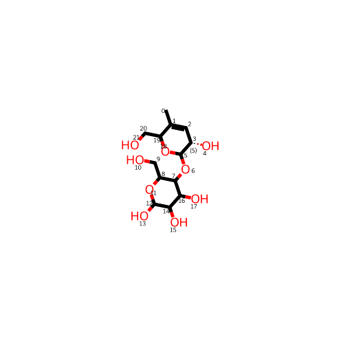 CC1=C[C@H](O)C(OC2C(CO)OC(O)C(O)C2O)OC1CO